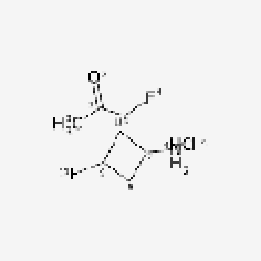 CC(=O)CF.Cl.NC1CC(F)C1